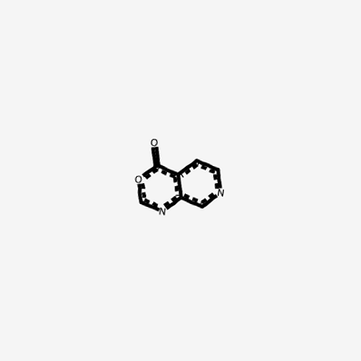 O=c1ocnc2cnccc12